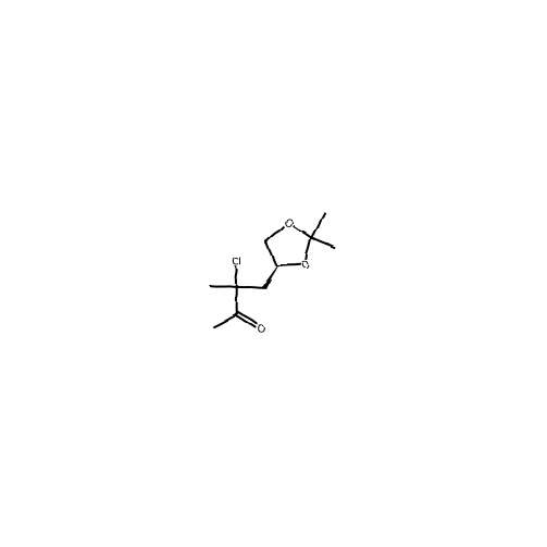 CC(=O)C(C)(Cl)C[C@H]1COC(C)(C)O1